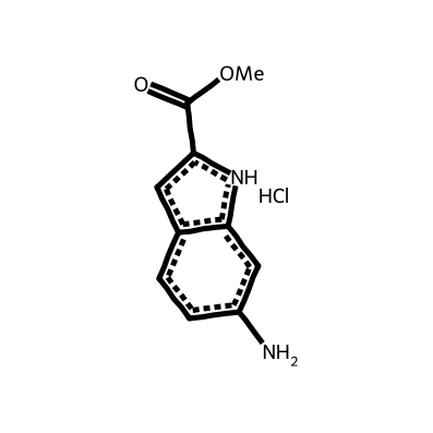 COC(=O)c1cc2ccc(N)cc2[nH]1.Cl